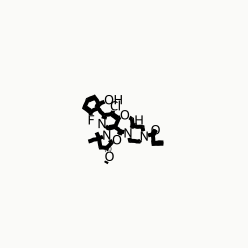 C=CC(=O)N1CCN2C(=O)c3c(N4C[C@H](OC)CC4(C)C)nc(-c4c(O)cccc4F)c(Cl)c3OC[C@H]2C1